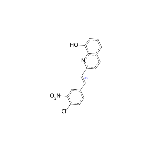 O=[N+]([O-])c1cc(/C=C/c2ccc3cccc(O)c3n2)ccc1Cl